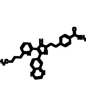 CCCCc1cccc(-c2[nH]c(CCc3ccc(C(N)=O)cc3)nc2-c2ccc3nccnc3c2)n1